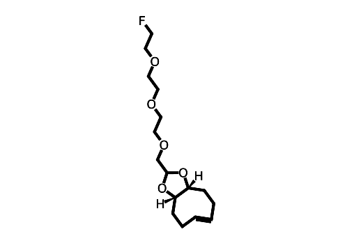 FCCOCCOCCOCC1O[C@H]2CC/C=C/CC[C@H]2O1